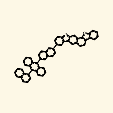 c1ccc2c(-c3c4ccccc4c(-c4ccc5cc(-c6ccc7oc8cc9c(ccc%10c%11ccccc%11oc9%10)cc8c7c6)ccc5c4)c4ccccc34)cccc2c1